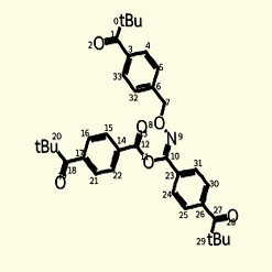 CC(C)(C)C(=O)c1ccc(CON=C(OC(=O)c2ccc(C(=O)C(C)(C)C)cc2)c2ccc(C(=O)C(C)(C)C)cc2)cc1